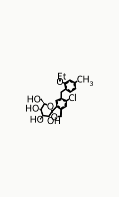 CCOc1cc(C)ccc1Cc1cc2c(cc1Cl)CO[C@]21O[C@H](CO)[C@@H](O)[C@H](O)[C@H]1O